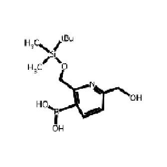 CC(C)(C)[Si](C)(C)OCc1nc(CO)ccc1B(O)O